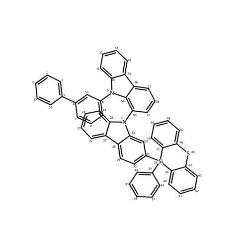 c1ccc(-c2cccc(-n3c4ccccc4c4cccc(-n5c6ccccc6c6ccc([Si]7(c8ccccc8)c8ccccc8Sc8ccccc87)cc65)c43)c2)cc1